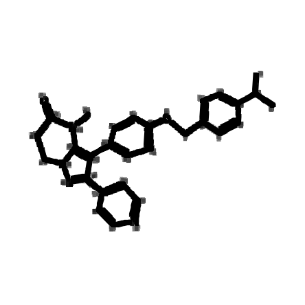 CC(C)c1ccc(COc2ccc(-c3c(-c4ccncc4)nn4c3N(C)C(=O)CC4)cc2)cc1